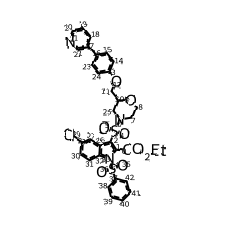 CCOC(=O)c1c(S(=O)(=O)N2CCOC(COc3ccc(-c4cccnc4)cc3)C2)c2cc(Cl)ccc2n1S(=O)(=O)c1ccccc1